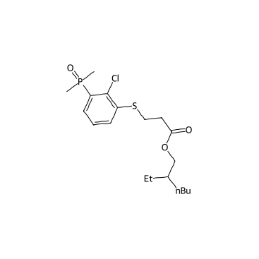 CCCCC(CC)COC(=O)CCSc1cccc(P(C)(C)=O)c1Cl